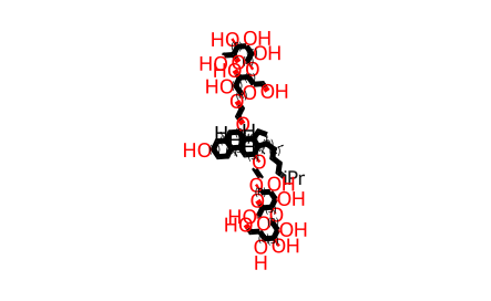 CC(C)CCC[C@@H](C)[C@H]1CC[C@H]2[C@@H]3[C@H](OCCO[C@@H]4OC(CO)[C@@H](O[C@H]5OC(CO)[C@@H](O)C(O)[C@@H]5O)C(O)[C@@H]4O)C[C@@H]4C[C@H](O)CC[C@]4(C)[C@H]3C[C@H](OCCO[C@@H]3OC(CO)[C@@H](O[C@H]4OC(CO)[C@@H](O)[C@H](O)C4O)C(O)C3O)[C@]12C